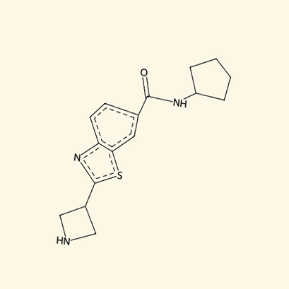 O=C(NC1CCCC1)c1ccc2nc(C3CNC3)sc2c1